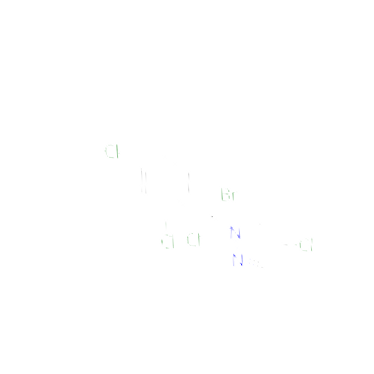 Clc1ccc(C(Cl)(Br)n2cc(Cl)cn2)c(Cl)c1